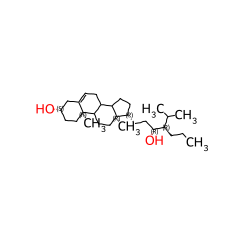 CCC[C@H](C(C)C)[C@H](O)CC[C@H]1CCC2C3CC=C4C[C@@H](O)CC[C@]4(C)C3CC[C@@]21C